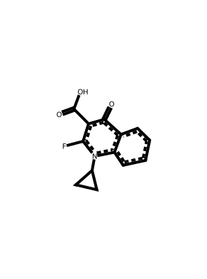 O=C(O)c1c(F)n(C2CC2)c2ccccc2c1=O